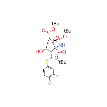 CC(C)(C)OC(=O)N[C@@]1(C(=O)OC(C)(C)C)[C@H](CSc2ccc(Cl)c(Cl)c2)[C@@H](O)C2[C@H](C(=O)OC(C)(C)C)[C@H]21